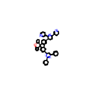 c1ccc(-c2cc(-c3ccc4c(c3)-c3cc(-c5ccc(-c6cccnc6)nc5-c5cccnc5)ccc3C43c4ccccc4Oc4ccccc43)nc(-c3ccccc3)n2)cc1